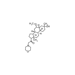 CO[C@@H]1C[C@@H]2[C@H](CC[C@]3(C)[C@@H](C(=O)CN4CCOCC4)CC[C@@H]23)[C@H]2CC[C@@](C)(O)C[C@H]21